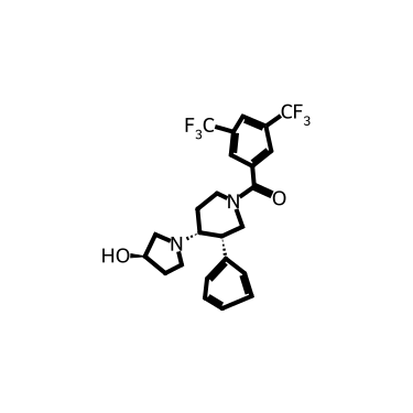 O=C(c1cc(C(F)(F)F)cc(C(F)(F)F)c1)N1CC[C@@H](N2CC[C@@H](O)C2)[C@@H](c2ccccc2)C1